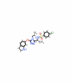 CCn1c(Oc2ccc3c(c2)NCC3)nnc1[C@@H](C)NS(=O)(=O)c1ccc(Cl)cc1